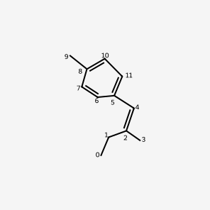 CCC(C)=Cc1ccc(C)cc1